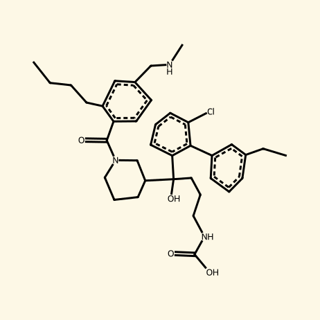 CCCCc1cc(CNC)ccc1C(=O)N1CCCC(C(O)(CCCNC(=O)O)c2cccc(Cl)c2-c2cccc(CC)c2)C1